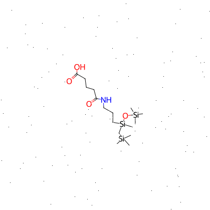 C[Si](C)(C)C[Si](C)(CCCNC(=O)CCCC(=O)O)O[Si](C)(C)C